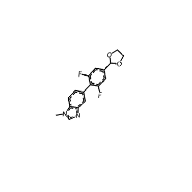 Cn1cnc2cc(-c3c(F)cc(C4OCCO4)cc3F)ccc21